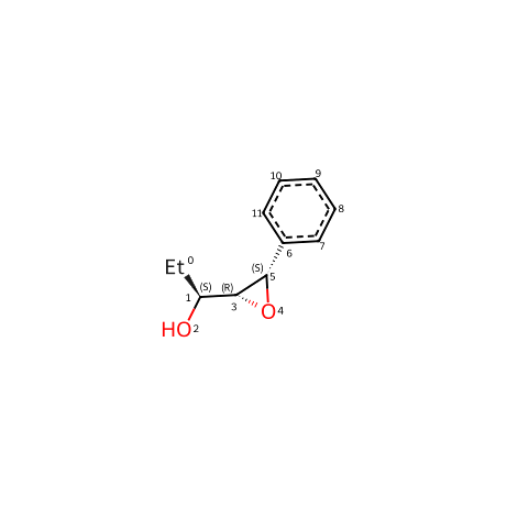 CC[C@H](O)[C@H]1O[C@H]1c1ccccc1